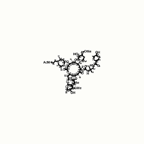 CON=C1C[C@@H](C)O[C@@H](O[C@@H]2[C@@H](C)[C@H](O[C@H]3C[C@H](C)N(CCNC(C)=O)C[C@H](C)O3)[C@@H](C)C(=O)O[C@H]([C@@H](C)CO[C@@H]3O[C@H](C)[C@@H](O)[C@@H](OC)[C@H]3OC)[C@H](C)[C@@H](OC(=O)CC(C)C)[C@@H](C)C(=O)[C@@](C)(OC(=O)NC(C)(C)CNC(=O)c3cnc(O)cn3)C[C@@H]2C)[C@@H]1O